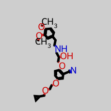 COc1ccc(CCNCC(O)COc2ccc(OCCOCC3CC3)cc2C#N)cc1OC